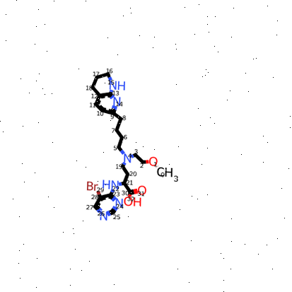 COCCN(CCCCc1ccc2c(n1)NCCC2)CCC(Nc1ncncc1Br)C(=O)O